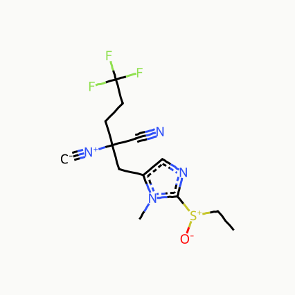 [C-]#[N+]C(C#N)(CCC(F)(F)F)Cc1cnc([S+]([O-])CC)n1C